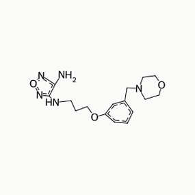 Nc1nonc1NCCCOc1cccc(CN2CCOCC2)c1